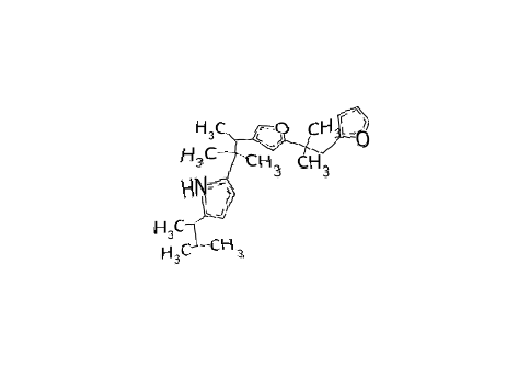 CC(C)C(C)c1ccc(C(C)(C)C(C)c2coc(C(C)(C)Cc3ccco3)c2)[nH]1